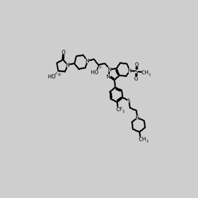 CC1CCN(CCSc2cc(-c3nn(C[C@@H](O)CN4CCC(N5C[C@H](O)CC5=O)CC4)c4c3CN(S(C)(=O)=O)CC4)ccc2C(F)(F)F)CC1